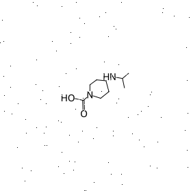 CC(C)NC1CCN(C(=O)O)CC1